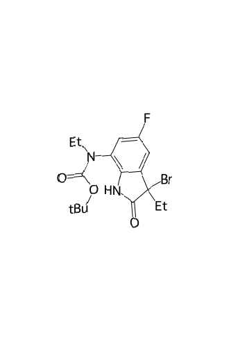 CCN(C(=O)OC(C)(C)C)c1cc(F)cc2c1NC(=O)C2(Br)CC